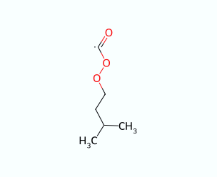 CC(C)CCOO[C]=O